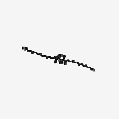 NCCOCCOCCOCCNC(=O)[C@H](O)[C@@H](O)C(=O)NCCOCCOCCOCCN